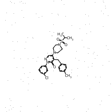 Cc1ccc(Cc2c(N3CCN(S(=O)(=O)C(C)C)CC3)cnn(-c3cccc(Cl)c3)c2=O)cc1